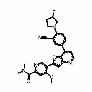 COc1cc(C(=O)N(C)C)ncc1-c1cc2nccc(-c3ccc(N4CCC(F)C4)c(C#N)c3)c2o1